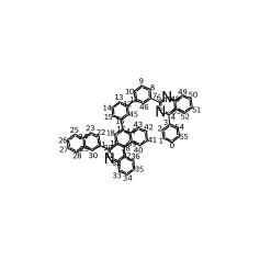 c1ccc(-c2nc(-c3cccc(-c4cccc(-c5cc6c(-c7ccc8ccccc8c7)nc7ccccc7c6c6ccccc56)c4)c3)nc3ccccc23)cc1